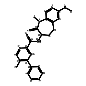 COc1cc2c(cn1)N(C)C(=O)C(NC(=O)c1ncc(C)c(-c3ccccc3)n1)CC2